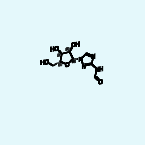 O=CNc1ncn([C@@H]2O[C@H](CO)[C@@H](O)[C@H]2O)n1